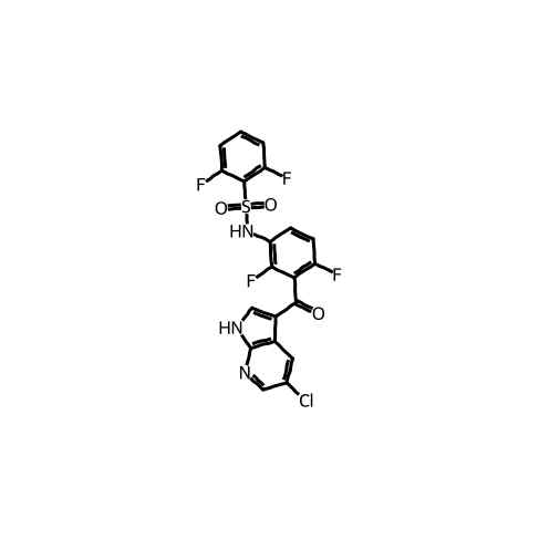 O=C(c1c(F)ccc(NS(=O)(=O)c2c(F)cccc2F)c1F)c1c[nH]c2ncc(Cl)cc12